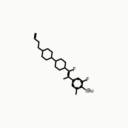 C=CCCC1CCC(C2CCC(/C(F)=C(\C)c3cc(C)c(C(C)(C)C)c(F)c3)CC2)CC1